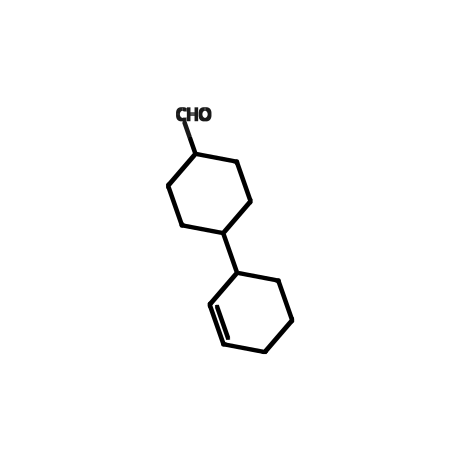 O=CC1CCC(C2C=CCCC2)CC1